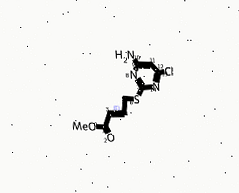 COC(=O)/C=C/CSc1nc(N)cc(Cl)n1